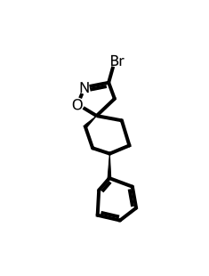 BrC1=NO[C@]2(CC[C@H](c3ccccc3)CC2)C1